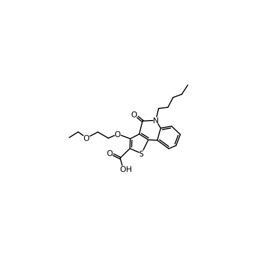 CCCCCn1c(=O)c2c(OCCOCC)c(C(=O)O)sc2c2ccccc21